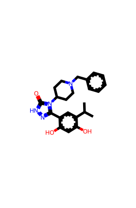 CC(C)c1cc(-c2n[nH]c(=O)n2C2CCN(Cc3ccccc3)CC2)c(O)cc1O